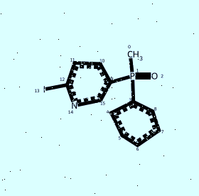 CP(=O)(c1ccccc1)c1ccc(I)nc1